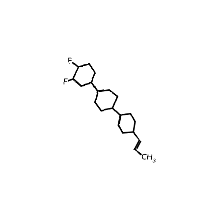 C/C=C/C1CCC(C2CCC(C3CCC(F)C(F)C3)CC2)CC1